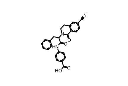 N#Cc1ccc2c(c1)CCN(C(Cc1ccccc1)C(=O)Nc1ccc(C(=O)O)cc1)C2=O